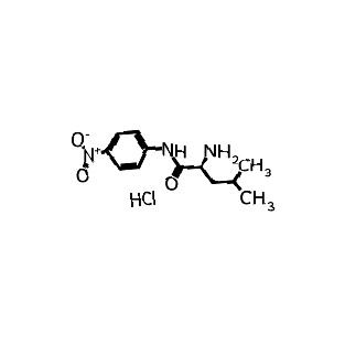 CC(C)C[C@H](N)C(=O)Nc1ccc([N+](=O)[O-])cc1.Cl